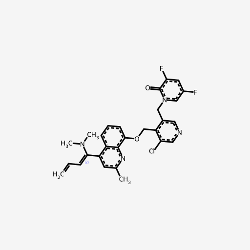 C=C/C=C(/c1cc(C)nc2c(OCc3c(Cl)cncc3Cn3cc(F)cc(F)c3=O)cccc12)N(C)C